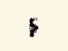 O=C(Nc1ccccc1-c1nc2cc(CN3CCNCC3)cnc2s1)c1cccc(-n2cccn2)c1